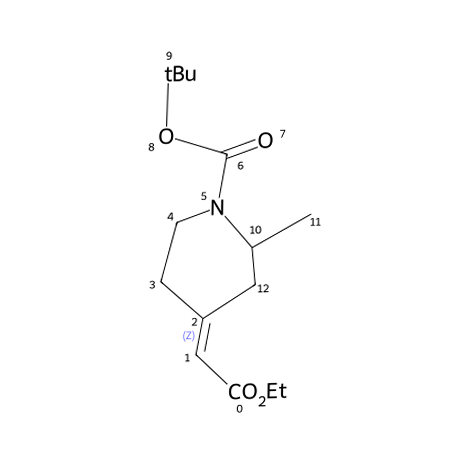 CCOC(=O)/C=C1/CCN(C(=O)OC(C)(C)C)C(C)C1